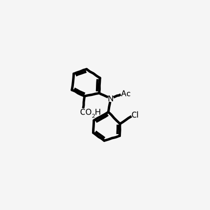 CC(=O)N(c1ccccc1Cl)c1ccccc1C(=O)O